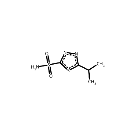 CC(C)c1nnc(S(N)(=O)=O)s1